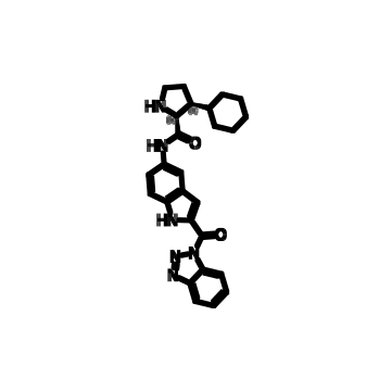 O=C(Nc1ccc2[nH]c(C(=O)n3nnc4ccccc43)cc2c1)[C@H]1NCC[C@H]1C1CCCCC1